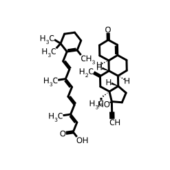 C#C[C@]1(O)CC[C@H]2[C@@H]3CCC4=CC(=O)CC[C@@H]4[C@H]3C(=C)C[C@@]21CC.CC1=C(/C=C/C(C)=C/C=C/C(C)=C/C(=O)O)C(C)(C)CCC1